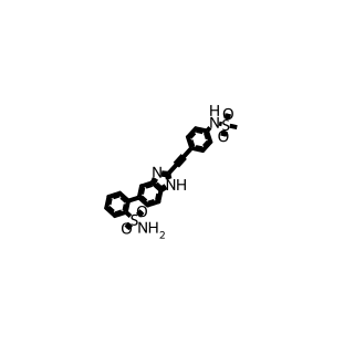 CS(=O)(=O)Nc1ccc(C#Cc2nc3cc(-c4ccccc4S(N)(=O)=O)ccc3[nH]2)cc1